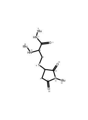 CC(C)(C)NC(=O)C(CSC1CC(=O)N(C(C)(C)C)C1=O)NC(C)(C)C